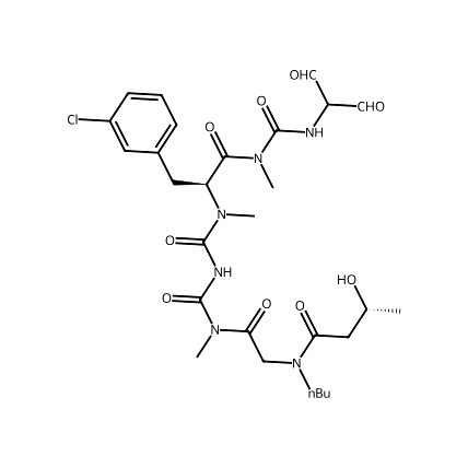 CCCCN(CC(=O)N(C)C(=O)NC(=O)N(C)[C@@H](Cc1cccc(Cl)c1)C(=O)N(C)C(=O)NC(C=O)C=O)C(=O)C[C@@H](C)O